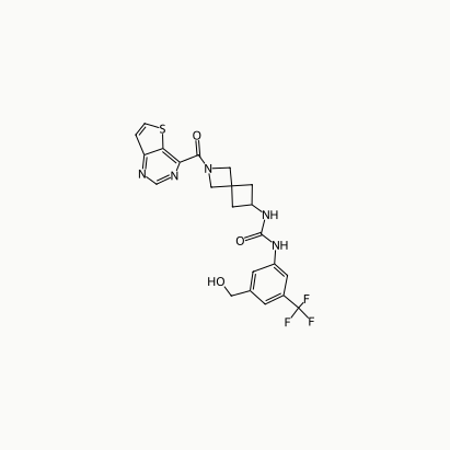 O=C(Nc1cc(CO)cc(C(F)(F)F)c1)NC1CC2(C1)CN(C(=O)c1ncnc3ccsc13)C2